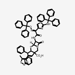 Cc1snnc1C=CC1(C(=O)O)CN2C(=O)C(NC(=O)C(=NOC(c3ccccc3)(c3ccccc3)c3ccccc3)c3csc(NC(c4ccccc4)(c4ccccc4)c4ccccc4)n3)[C@H]2SC1C(c1ccccc1)c1ccccc1